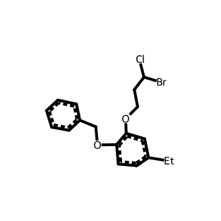 CCc1ccc(OCc2ccccc2)c(OCCC(Cl)Br)c1